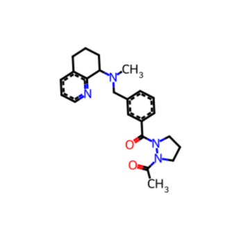 CC(=O)N1CCCN1C(=O)c1cccc(CN(C)C2CCCc3cccnc32)c1